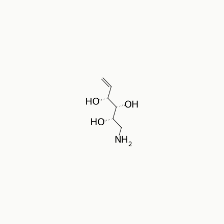 C=C[C@@H](O)[C@H](O)[C@@H](O)CN